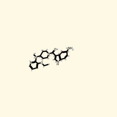 CCOc1cccnc1N(C)C1CCN(C(=O)c2c[nH]c3ccc(N)cc23)CC1